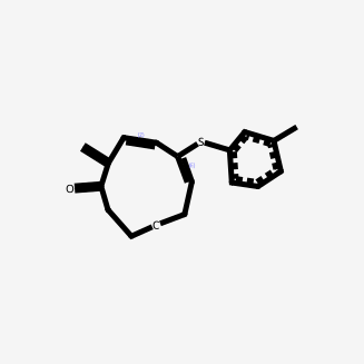 C=C1/C=C\C(Sc2cccc(C)c2)=C/CCCCC1=O